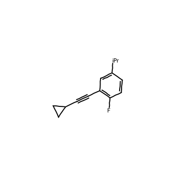 CC(C)c1ccc(F)c(C#CC2CC2)c1